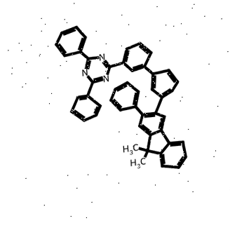 CC1(C)c2ccccc2-c2cc(-c3cccc(-c4cccc(-c5nc(-c6ccccc6)nc(-c6ccccc6)n5)c4)c3)c(-c3ccccc3)cc21